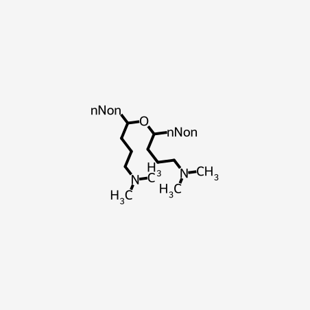 CCCCCCCCCC(CCCN(C)C)OC(CCCCCCCCC)CCCN(C)C